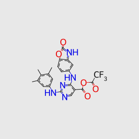 Cc1cc(Nc2ncc(C(=O)OC(=O)C(F)(F)F)c(Nc3ccc4oc(=O)[nH]c4c3)n2)cc(C)c1C